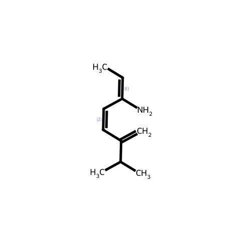 C=C(/C=C\C(N)=C/C)C(C)C